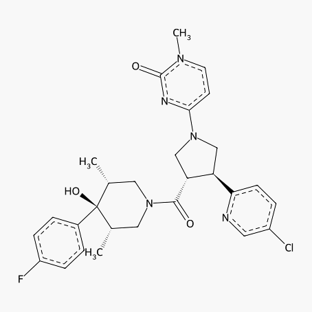 C[C@@H]1CN(C(=O)[C@@H]2CN(c3ccn(C)c(=O)n3)C[C@H]2c2ccc(Cl)cn2)C[C@H](C)[C@]1(O)c1ccc(F)cc1